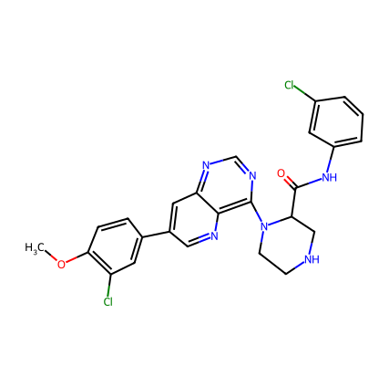 COc1ccc(-c2cnc3c(N4CCNCC4C(=O)Nc4cccc(Cl)c4)ncnc3c2)cc1Cl